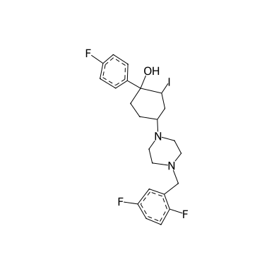 OC1(c2ccc(F)cc2)CCC(N2CCN(Cc3cc(F)ccc3F)CC2)CC1I